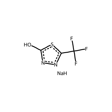 Oc1nnc(C(F)(F)F)s1.[NaH]